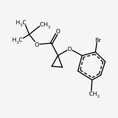 Cc1ccc(Br)c(OC2(C(=O)OC(C)(C)C)CC2)c1